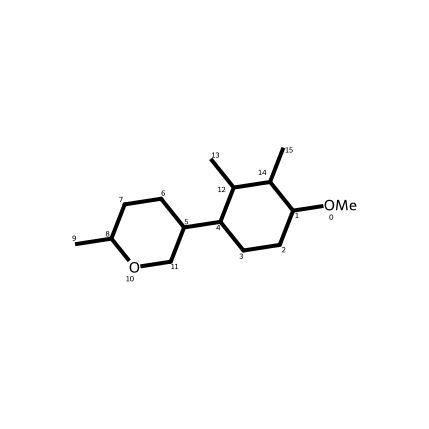 COC1CCC(C2CCC(C)OC2)C(C)C1C